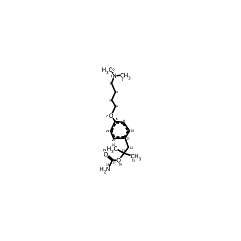 CN(C)CCCCOc1ccc(CC(C)(C)OC(N)=O)cc1